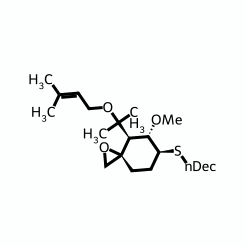 CCCCCCCCCCS[C@H]1CC[C@]2(CO2)[C@@H](C(C)(C)OCC=C(C)C)[C@@H]1OC